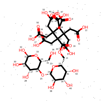 O=C(O)CC(CC(=O)O)(CC(=O)O)C(CC(=O)O)(C(=O)OC[C@H]1O[C@@H](O[C@H]2[C@H](O)[C@@H](O)[C@@H](O)O[C@@H]2CO)[C@H](O)[C@@H](O)[C@H]1O)C(CC(=O)O)(CC(=O)O)CC(=O)O